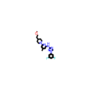 COCCC1CCN(c2cc(C)cc(Nc3ncn(-c4cc(F)cc(F)c4)n3)n2)CC1